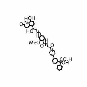 COc1cc(CNC[C@H](O)c2ccc(O)c3[nH]c(=O)ccc23)ccc1C(=O)NCC(=O)N1CC=C(c2cccc([C@](O)(C(=O)O)c3ccccc3)c2)CC1